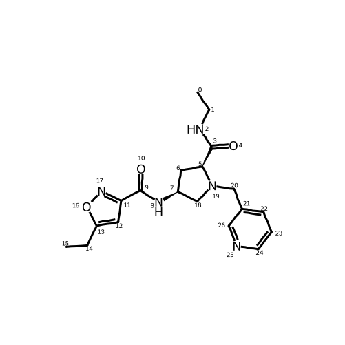 CCNC(=O)[C@@H]1C[C@H](NC(=O)c2cc(CC)on2)CN1Cc1cccnc1